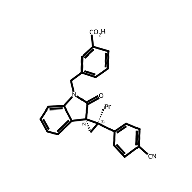 CC(C)[C@]1(c2ccc(C#N)cc2)C[C@]12C(=O)N(Cc1cccc(C(=O)O)c1)c1ccccc12